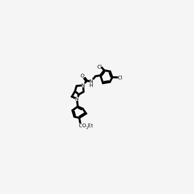 CCOC(=O)c1ccc(N2CC3CN(C(=O)NCc4ccc(Cl)cc4Cl)CC32)cc1